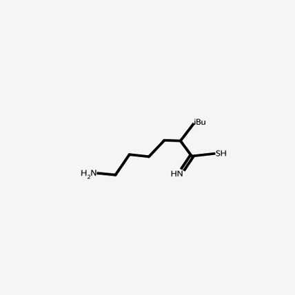 CCC(C)C(CCCCN)C(=N)S